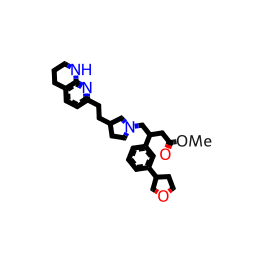 COC(=O)CC(CN1CCC(CCc2ccc3c(n2)NCCC3)C1)c1cccc(C2CCOC2)c1